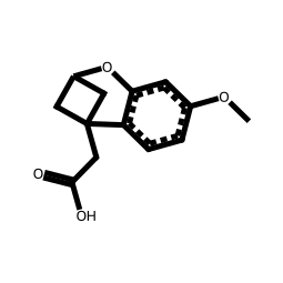 COc1ccc2c(c1)OC1CC2(CC(=O)O)C1